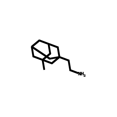 CC12CC3CC(C1)CC(CCN)(C3)C2